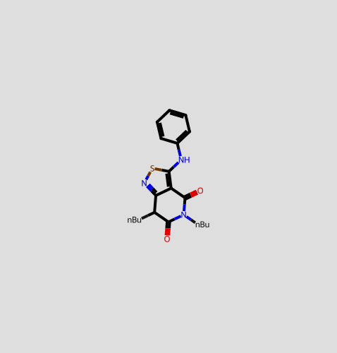 CCCCC1C(=O)N(CCCC)C(=O)c2c1nsc2Nc1ccccc1